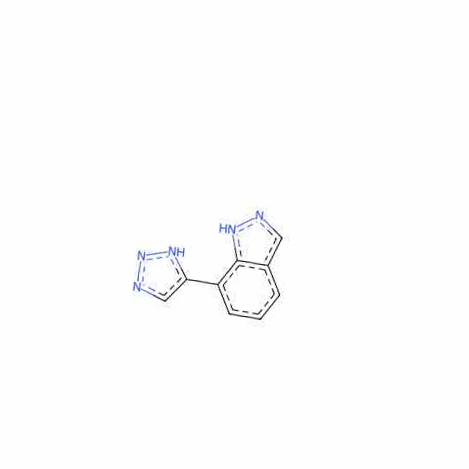 c1cc(-c2cnn[nH]2)c2[nH]ncc2c1